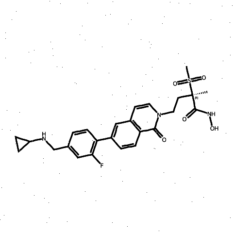 C[C@@](CCn1ccc2cc(-c3ccc(CNC4CC4)cc3F)ccc2c1=O)(C(=O)NO)S(C)(=O)=O